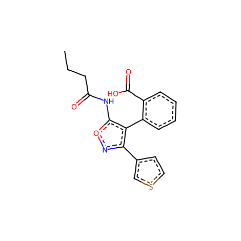 CCCC(=O)Nc1onc(-c2ccsc2)c1-c1ccccc1C(=O)O